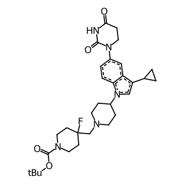 CC(C)(C)OC(=O)N1CCC(F)(CN2CCC(n3cc(C4CC4)c4cc(N5CCC(=O)NC5=O)ccc43)CC2)CC1